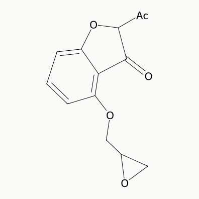 CC(=O)C1Oc2cccc(OCC3CO3)c2C1=O